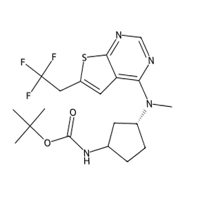 CN(c1ncnc2sc(CC(F)(F)F)cc12)[C@@H]1CCC(NC(=O)OC(C)(C)C)C1